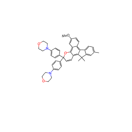 COc1ccc2c3c(c4c(c2c1)OC(c1ccc(N2CCOCC2)cc1)(c1ccc(N2CCOCC2)cc1)C=C4)C(C)(C)c1cc(C)ccc1-3